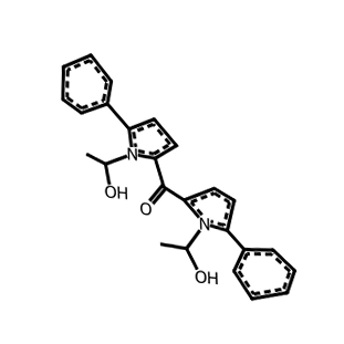 CC(O)n1c(C(=O)c2ccc(-c3ccccc3)n2C(C)O)ccc1-c1ccccc1